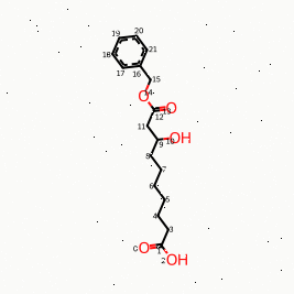 O=C(O)CCCCCCC(O)CC(=O)OCc1ccccc1